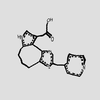 O=C(O)c1c[nH]c2c1-c1nc(-c3ccncc3)sc1CCC2